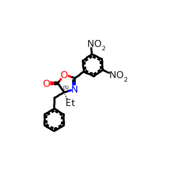 CC[C@@]1(Cc2ccccc2)N=C(c2cc([N+](=O)[O-])cc([N+](=O)[O-])c2)OC1=O